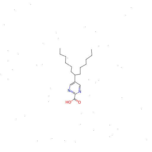 CCCCCCC(CCCCCC)c1cnc(C(=O)O)nc1